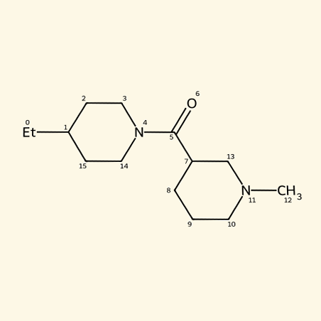 CCC1CCN(C(=O)C2CCCN(C)C2)CC1